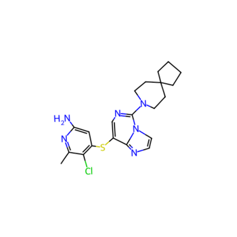 Cc1nc(N)cc(Sc2cnc(N3CCC4(CCCC4)CC3)n3ccnc23)c1Cl